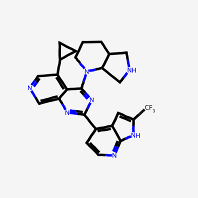 FC(F)(F)c1cc2c(-c3nc(N4CCCC5CNCC54)c4c(C5CC5)cncc4n3)ccnc2[nH]1